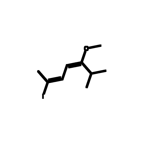 CO/C(=C/C=C(\C)I)C(C)C